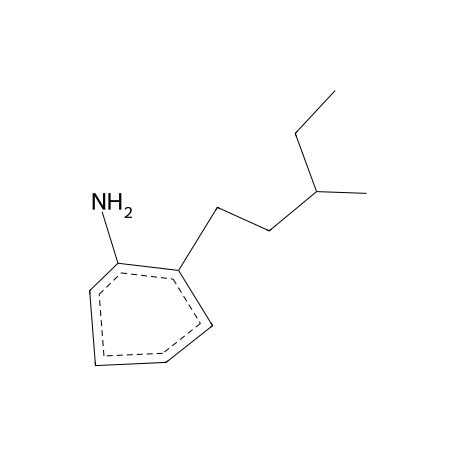 CCC(C)CCc1ccccc1N